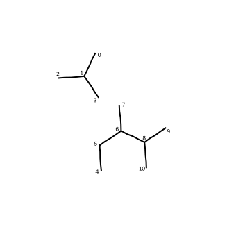 CC(C)C.CCC(C)C(C)C